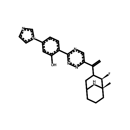 C=C(c1cnc(-c2ccc(-n3ccnc3)cc2O)nn1)C1CC2CCC[C@](C)(N2)[C@@H]1F